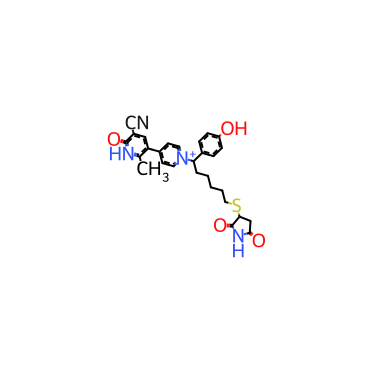 Cc1[nH]c(=O)c(C#N)cc1-c1cc[n+](C(CCCCCSC2CC(=O)NC2=O)c2ccc(O)cc2)cc1